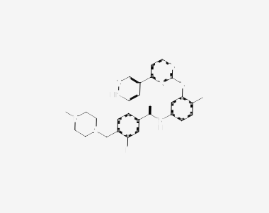 Cc1ccc(NC(=O)c2ccc(CN3CCN(C)CC3)c(Br)c2)cc1Nc1nccc(C2=CNNC=C2)n1